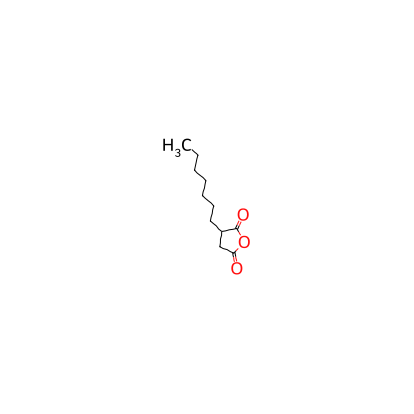 CCCCCCCC1CC(=O)OC1=O